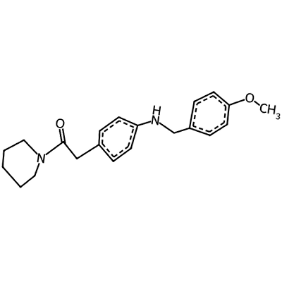 COc1ccc(CNc2ccc(CC(=O)N3CCCCC3)cc2)cc1